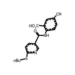 CCCCSc1ccc(C(=O)Nc2ccc(C#N)cc2C(=O)O)cn1